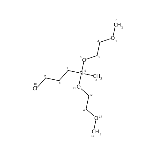 COCCO[Si](C)(CCCCl)OCCOC